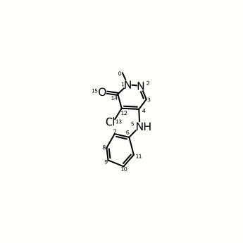 Cn1ncc(Nc2ccccc2)c(Cl)c1=O